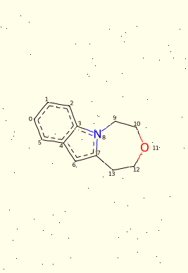 c1ccc2c(c1)cc1n2CCOCC1